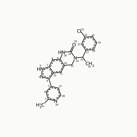 Cc1cc(-c2n[nH]c3cc4c(cc23)CN(C(C)c2cccc(Cl)c2)C(=O)N4)ccn1